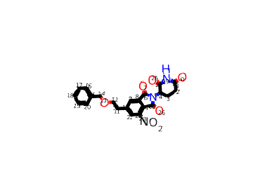 O=C1CCC(N2C(=O)c3cc(CCOCc4ccccc4)cc([N+](=O)[O-])c3C2=O)C(=O)N1